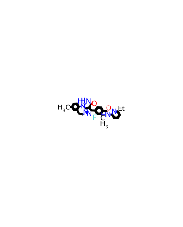 CCc1cccc(NC(=O)c2ccc(-c3nn4c(c3C(N)=O)Nc3ccc(C)cc3CC4)c(F)c2C)n1